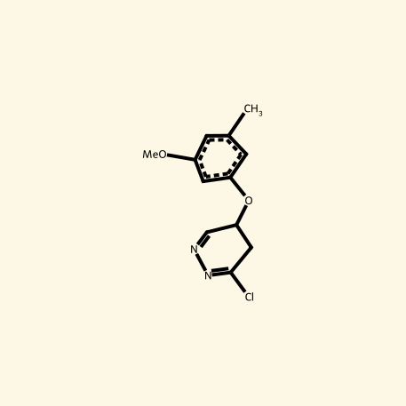 COc1cc(C)cc(OC2C=NN=C(Cl)C2)c1